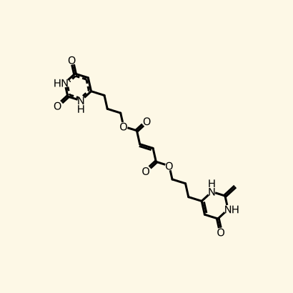 C=C1NC(=O)C=C(CCCOC(=O)/C=C/C(=O)OCCCc2cc(=O)[nH]c(=O)[nH]2)N1